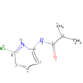 CC(C)C(=O)Nc1cccc(Cl)n1